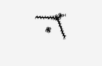 CCCCCCCCCCCCCCCC(=O)[N+](C)(CCC(=O)O)C(=O)CCCCCCCCCCCCCCC.COS(=O)(=O)[O-]